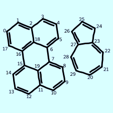 c1cc2cccc3c4cccc5cccc(c(c1)c23)c54.c1ccc2cccc-2cc1